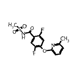 Cc1cccc(Oc2cc(F)c(C(=O)NS(C)(=O)=O)cc2F)n1